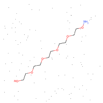 NOCCOCCOCCOCCOCCO